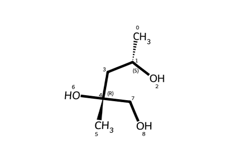 C[C@H](O)C[C@@](C)(O)CO